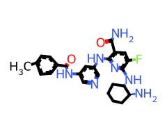 Cc1ccc(C(=O)Nc2cncc(Nc3nc(NC4CCCC[C@@H]4N)c(F)cc3C(N)=O)c2)cc1